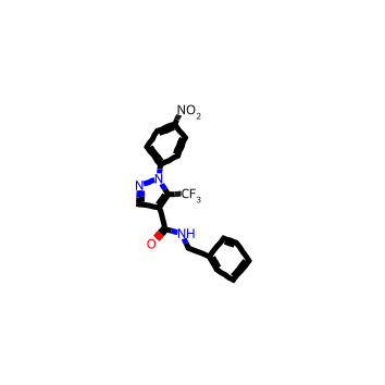 O=C(NCc1ccccc1)c1cnn(-c2ccc([N+](=O)[O-])cc2)c1C(F)(F)F